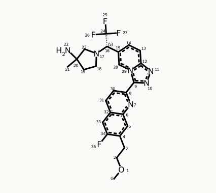 COCCc1cc2nc(-c3nnc4ccc([C@H](N5CCC(C)(N)C5)C(F)(F)F)cn34)ccc2cc1F